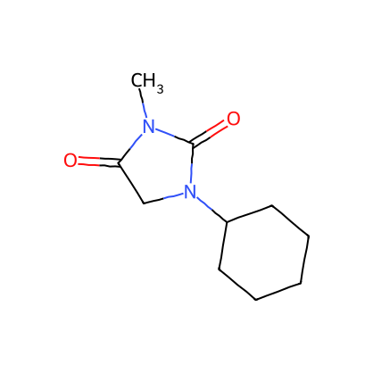 CN1C(=O)CN(C2CCCCC2)C1=O